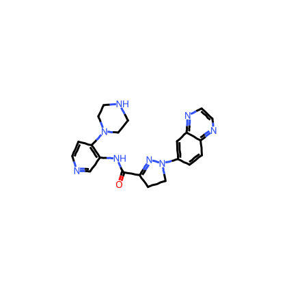 O=C(Nc1cnccc1N1CCNCC1)C1=NN(c2ccc3nccnc3c2)CC1